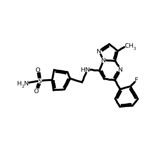 Cc1cnn2c(NCc3ccc(S(N)(=O)=O)cc3)cc(-c3ccccc3F)nc12